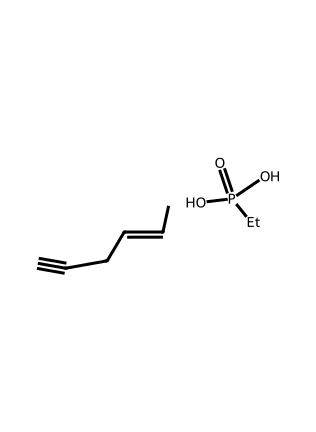 C#CCC=CC.CCP(=O)(O)O